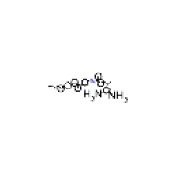 C=CCCOC1CCC(OC(=O)c2ccc(/C=C/C(=O)OCC(C)c3cc(N)cc(N)c3)cc2)CC1